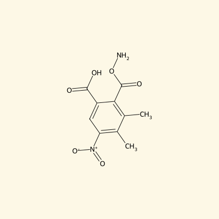 Cc1c([N+](=O)[O-])cc(C(=O)O)c(C(=O)ON)c1C